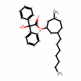 CCCCCCCC1CCC(C)CC(OC(=O)C(O)(c2ccccc2)c2ccccc2)C1